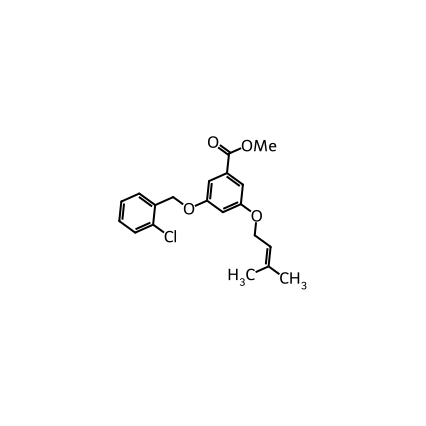 COC(=O)c1cc(OCC=C(C)C)cc(OCc2ccccc2Cl)c1